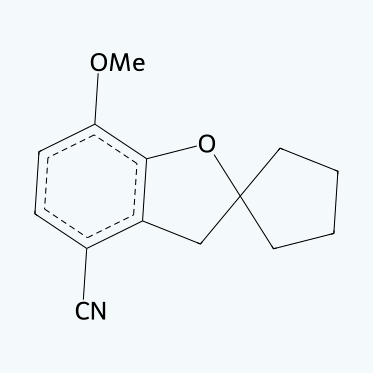 COc1ccc(C#N)c2c1OC1(CCCC1)C2